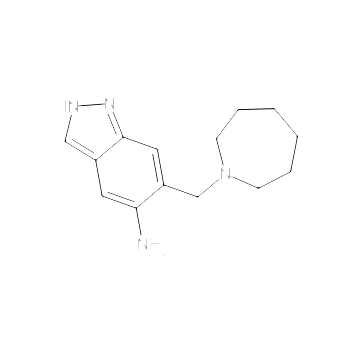 Nc1cc2c[nH]nc2cc1CN1CCCCCC1